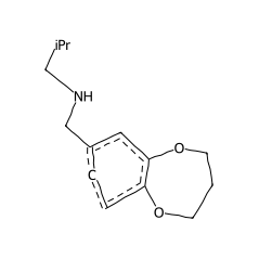 CC(C)CNCc1ccc2c(c1)OCCCO2